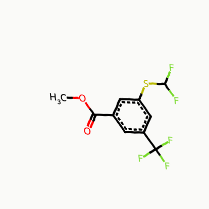 COC(=O)c1cc(SC(F)F)cc(C(F)(F)F)c1